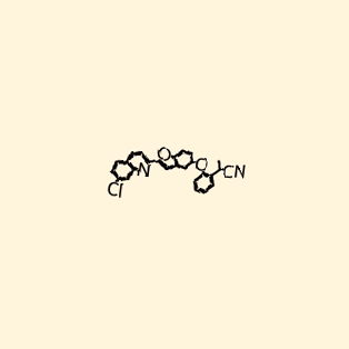 CC(C#N)c1ccccc1Oc1ccc2oc(-c3ccc4ccc(Cl)cc4n3)cc2c1